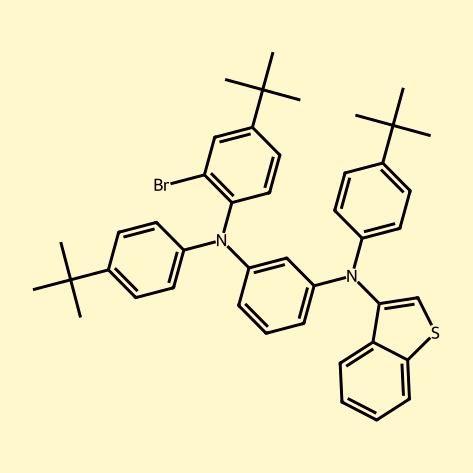 CC(C)(C)c1ccc(N(c2cccc(N(c3ccc(C(C)(C)C)cc3)c3csc4ccccc34)c2)c2ccc(C(C)(C)C)cc2Br)cc1